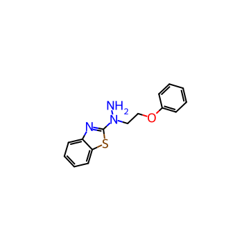 NN(CCOc1ccccc1)c1nc2ccccc2s1